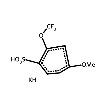 COc1ccc(S(=O)(=O)O)c(OC(F)(F)F)c1.[KH]